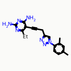 CCc1nc(N)nc(N)c1C#CCc1cn(-c2ccc(C)cc2C)nn1